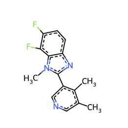 Cc1cncc(-c2nc3ccc(F)c(F)c3n2C)c1C